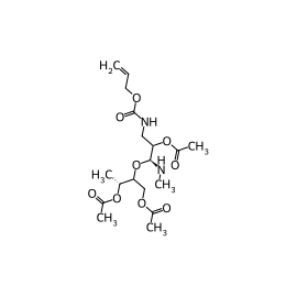 C=CCOC(=O)NCC(OC(C)=O)[C@@H](NC)OC(COC(C)=O)[C@@H](C)OC(C)=O